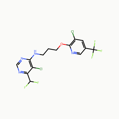 FC(F)c1ncnc(NCCCOc2ncc(C(F)(F)F)cc2Cl)c1Cl